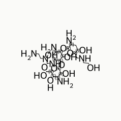 NCCN(O)C(=O)N[C@@H]1C[C@H](N)[C@@H](O[C@H]2O[C@H](CNCCO)[C@@H](O)C[C@H]2N)[C@H](O)[C@H]1O[C@H]1O[C@H](CO)[C@@H](O)[C@H](N)[C@H]1O